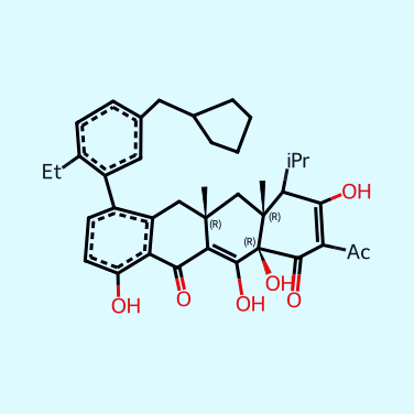 CCc1ccc(CC2CCCC2)cc1-c1ccc(O)c2c1C[C@]1(C)C[C@]3(C)C(C(C)C)C(O)=C(C(C)=O)C(=O)[C@]3(O)C(O)=C1C2=O